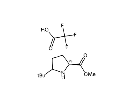 COC(=O)[C@@H]1CCC(C(C)(C)C)N1.O=C(O)C(F)(F)F